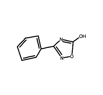 Oc1nc(-c2c[c]ccc2)no1